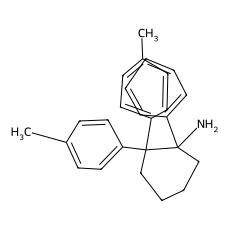 Cc1ccc(C2(c3ccc(C)cc3)CCCCC2(N)c2ccccc2)cc1